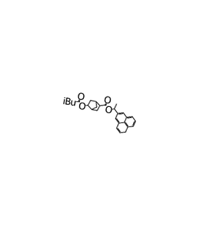 CCC(C)C(=O)OC1CC2CC1CC2C(=O)OC(C)c1cc2c3c(cccc3c1)CC=C2